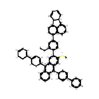 CCc1cc(-c2ccc3c4c(cccc24)C2C=CC=CC32)ccc1-c1cc2c(C3=CC=C(C4=CC=CCC4)CC3)c3ccccc3c(-c3ccc(-c4ccccc4)cc3)c2cc1SC